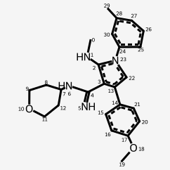 CNc1c(C(=N)NC2CCOCC2)c(-c2ccc(OC)cc2)cn1-c1cccc(C)c1